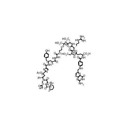 CCCC(=O)OCN(C(=O)[C@@H](NC(=O)[C@H]1CCCCN1C)C(C)CC)[C@H](C[C@@H](OC(C)=O)c1nc(C(=O)N[C@@H](Cc2ccc(O)cc2)C[C@H](C)C(=O)NNC(=O)OCCSS[C@H](NC(=O)[C@H](CC(=O)O)NC(=O)[C@H](CCCNC(=N)N)NC(=O)[C@H](CC(=O)O)NC(=O)CC[C@H](NC(=O)c2ccc(NCc3cnc4nc(N)[nH]c(=O)c4n3)cc2)C(=O)O)C(=O)O)cs1)C(C)C